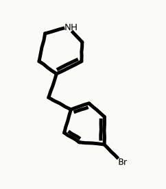 Brc1ccc(CC2=CCNCC2)cc1